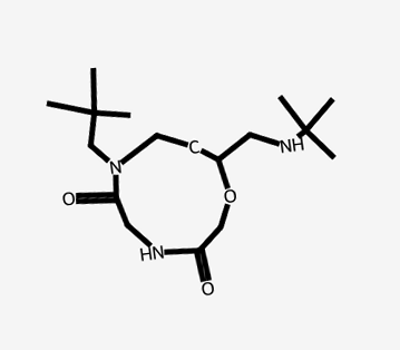 CC(C)(C)CN1CCC(CNC(C)(C)C)OCC(=O)NCC1=O